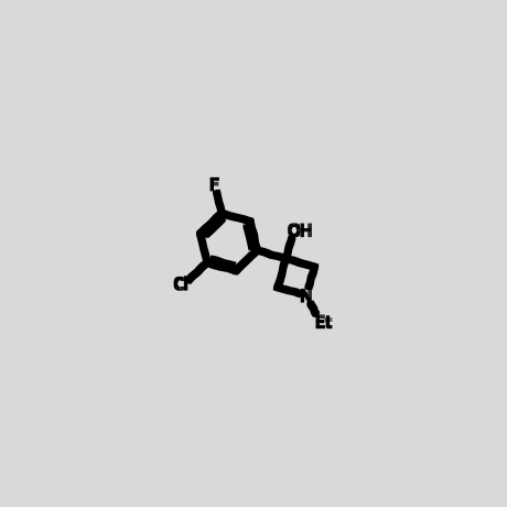 CCN1CC(O)(c2cc(F)cc(Cl)c2)C1